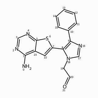 Nc1ncnc2sc(-c3c(-c4ccccc4)ncn3CC=O)cc12